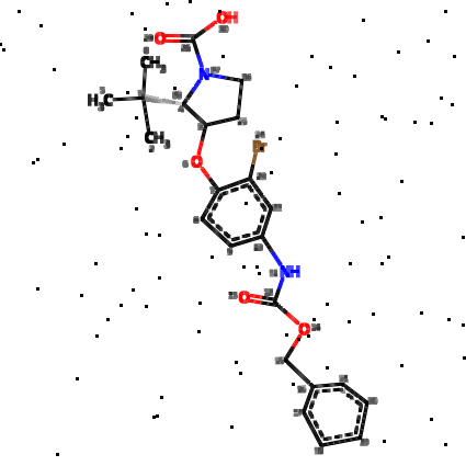 CC(C)(C)[C@H]1C(Oc2ccc(NC(=O)OCc3ccccc3)cc2Br)CCN1C(=O)O